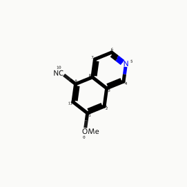 COc1[c]c2cnccc2c(C#N)c1